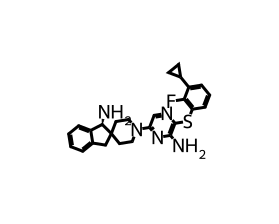 Nc1nc(N2CCC3(CC2)Cc2ccccc2[C@H]3N)cnc1Sc1cccc(C2CC2)c1F